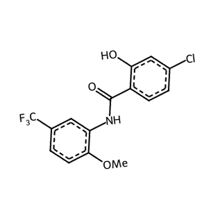 COc1ccc(C(F)(F)F)cc1NC(=O)c1ccc(Cl)cc1O